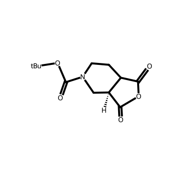 CC(C)(C)OC(=O)N1CCC2C(=O)OC(=O)[C@H]2C1